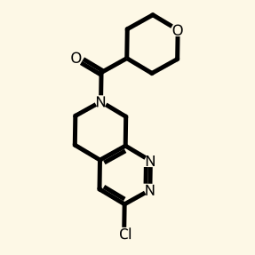 O=C(C1CCOCC1)N1CCc2cc(Cl)nnc2C1